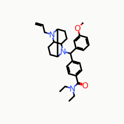 C=CCN1C2CCC3C1CCC2N3C(c1ccc(C(=O)N(CC)CC)cc1)c1cccc(OC)c1